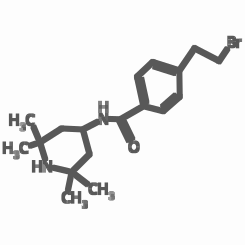 CC1(C)CC(NC(=O)c2ccc(CCBr)cc2)CC(C)(C)N1